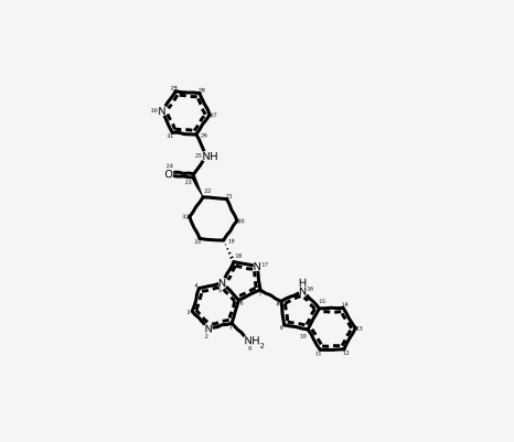 Nc1nccn2c1c(-c1cc3ccccc3[nH]1)nc2[C@H]1CC[C@H](C(=O)Nc2cccnc2)CC1